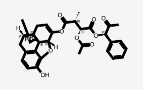 CC(=O)O[C@@H](C(=O)O[C@@H](C(C)=O)c1ccccc1)[C@@H](C)C(=O)OC1=CC[C@@]2(O)[C@H]3Cc4ccc(O)c5c4[C@@]2(CCN3C)[C@H]1O5